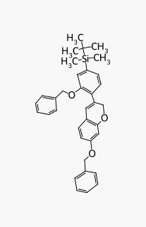 CC(C)(C)[Si](C)(C)c1ccc(C2=Cc3ccc(OCc4ccccc4)cc3OC2)c(OCc2ccccc2)c1